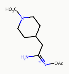 CC(=O)O/N=C(/N)CC1CCN(C(=O)O)CC1